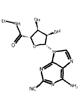 CCNC(=O)[C@H]1O[C@@H](n2cnc3c(N)nc(C#N)nc32)[C@H](O)[C@@H]1O